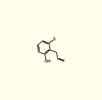 C=CCc1c(O)cccc1[S]